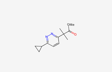 COC(=O)C(C)(C)c1ccc(C2CC2)nn1